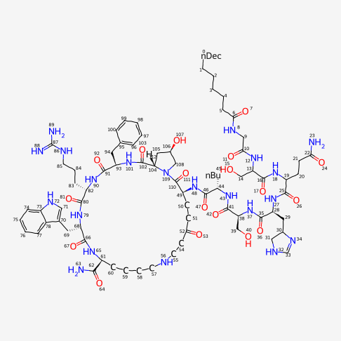 CCCCCCCCCCCCCCCC(=O)NCC(=O)NC(CO)C(=O)NC(CCC(N)=O)C(=O)N[C@@H](CC1CNC=N1)C(=O)N[C@@H](CO)C(=O)N[C@@H](CCCC)C(=O)N[C@H]1CCC(=O)CCNCCCC[C@@H](C(N)=O)NC(=O)[C@H](Cc2c[nH]c3ccccc23)NC(=O)[C@H](CCCNC(=N)N)NC(=O)[C@@H](Cc2ccccc2)NC(=O)[C@@H]2C[C@@H](O)CN2C1=O